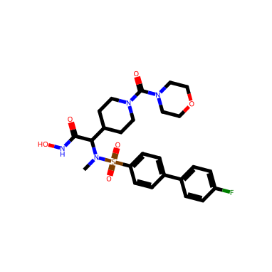 CN(C(C(=O)NO)C1CCN(C(=O)N2CCOCC2)CC1)S(=O)(=O)c1ccc(-c2ccc(F)cc2)cc1